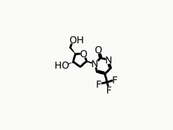 O=c1ncc(C(F)(F)F)cn1[C@H]1C[C@H](O)[C@@H](CO)O1